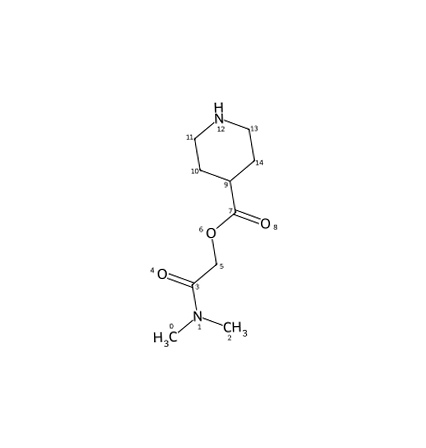 CN(C)C(=O)COC(=O)C1CCNCC1